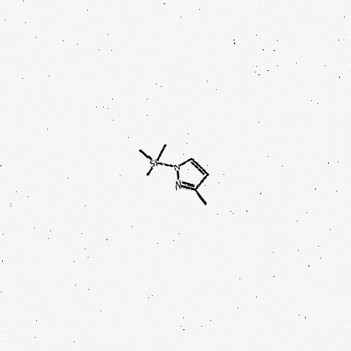 Cc1ccn([Si](C)(C)C)n1